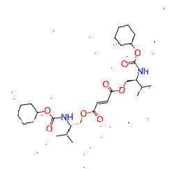 CC(C)[C@@H](COC(=O)/C=C/C(=O)OC[C@@H](NC(=O)OC1CCCCC1)C(C)C)NC(=O)OC1CCCCC1